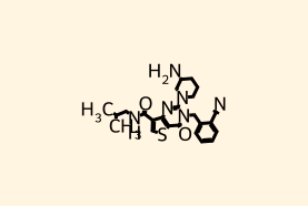 CC(C)CNC(=O)c1csc2c(=O)n(Cc3ccccc3C#N)c(N3CCCC(N)C3)nc12